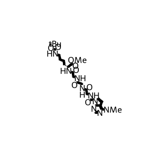 CNc1ncnc2c1ccn2C(=O)NCC(=O)NCC(=O)NCC(=O)N[C@H](CCCCNC(=O)OC(C)(C)C)C(=O)OC